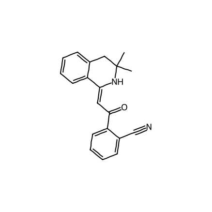 CC1(C)Cc2ccccc2C(=CC(=O)c2ccccc2C#N)N1